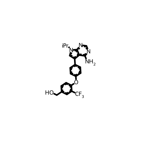 CC(C)n1cc(-c2ccc(Oc3ccc(CO)cc3C(F)(F)F)cc2)c2c(N)ncnc21